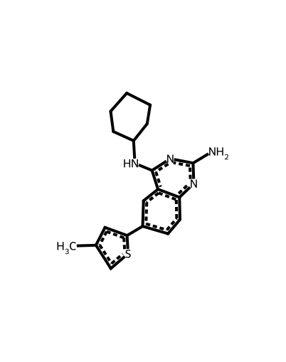 Cc1csc(-c2ccc3nc(N)nc(NC4CCCCC4)c3c2)c1